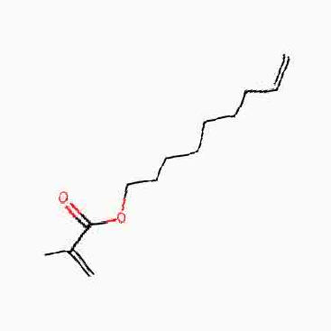 C=CCCCCCCCOC(=O)C(=C)C